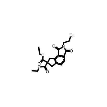 CCOC(=O)C1(C(=O)OCC)Cc2ccc3c(c2C1)C(=O)N(CCO)C3=O